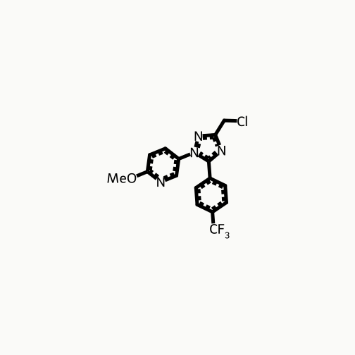 COc1ccc(-n2nc(CCl)nc2-c2ccc(C(F)(F)F)cc2)cn1